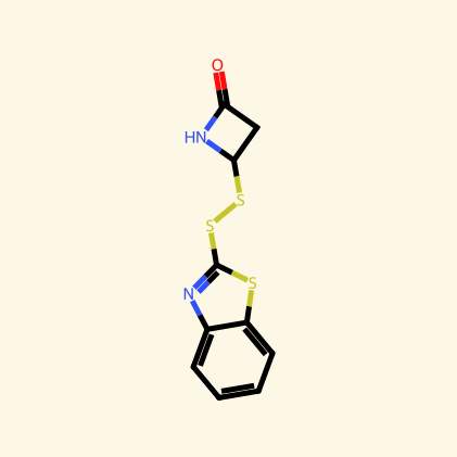 O=C1CC(SSc2nc3ccccc3s2)N1